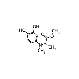 COC(=O)C(C)N(C)c1ccc(O)c(O)c1